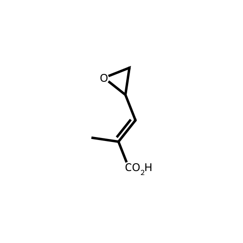 CC(=CC1CO1)C(=O)O